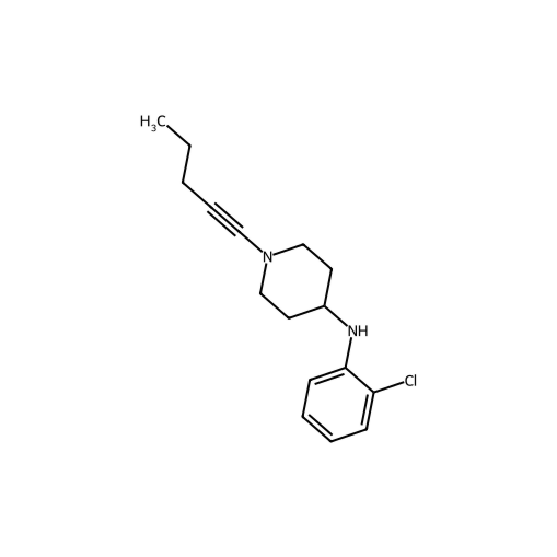 CCCC#CN1CCC(Nc2ccccc2Cl)CC1